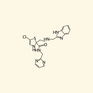 O=C(NCc1ncccn1)C1(CCNCc2nc3ccccc3[nH]2)NC=C(Cl)S1